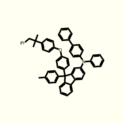 Cc1ccc(C2(c3ccc(Oc4ccc(C(C)(C)CC(C)C)cc4)cc3)c3ccccc3-c3ccc(N(c4ccccc4)c4ccc(-c5ccccc5)cc4)cc32)cc1